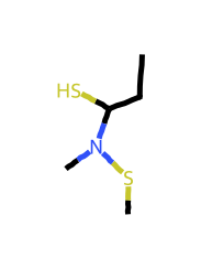 CCC(S)N(C)SC